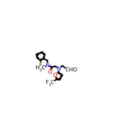 CN(Cc1ccccc1F)C(=O)CN(CC=O)c1ccc(C(F)(F)F)o1